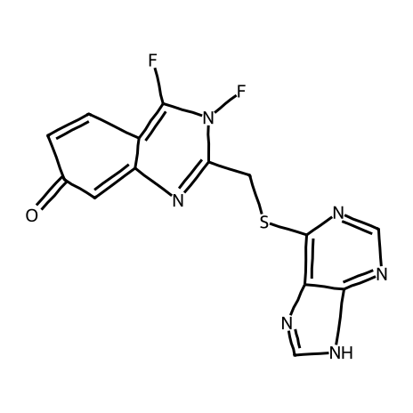 O=c1ccc2c(F)n(F)c(CSc3ncnc4[nH]cnc34)nc-2c1